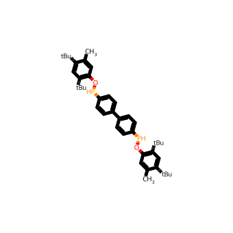 Cc1cc(OPc2ccc(-c3ccc(POc4cc(C)c(C(C)(C)C)cc4C(C)(C)C)cc3)cc2)c(C(C)(C)C)cc1C(C)(C)C